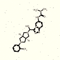 CN(C)C(=O)Nc1ccc2nnc(C(O)N3C[C@H]4CN(c5ccccc5C(F)(F)F)C[C@H]4C3)n2c1